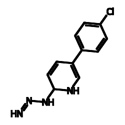 N=NNC1C=CC(c2ccc(Cl)cc2)=CN1